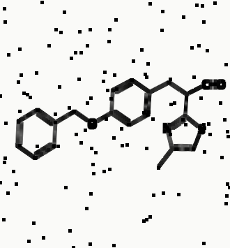 Cc1csc(C(C=O)Cc2ccc(OCc3ccccc3)cc2)n1